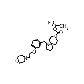 CC(OC(=O)N1CCC2(CCCN2Cc2cccc(OCCN3CCOCC3)c2)CC1)C(F)(F)F